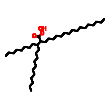 CCCCCCCCCCCCCCCCC(C(=O)OO)C(CCCCCCCC)CCCCCCCCCCC